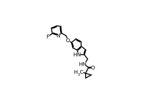 CC1(C(=O)NCc2cc3ccc(OCc4cccc(F)n4)cc3[nH]2)CC1